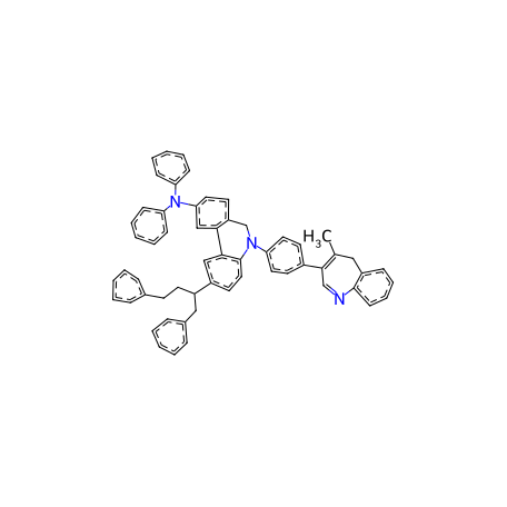 CC1=C(c2ccc(N3Cc4ccc(N(c5ccccc5)c5ccccc5)cc4-c4cc(C(CCc5ccccc5)Cc5ccccc5)ccc43)cc2)C=Nc2ccccc2C1